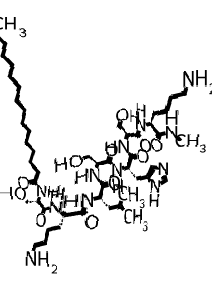 CCCCCCCCCCCCCCCC(=O)N[C@@H](CO)C(=O)N[C@@H](CCCCN)C(=O)N[C@@H](CC(C)C)C(=O)N[C@@H](CO)C(=O)N[C@@H](Cc1cnc[nH]1)C(=O)N[C@@H](CO)C(=O)N[C@@H](CCCCN)C(=O)NC